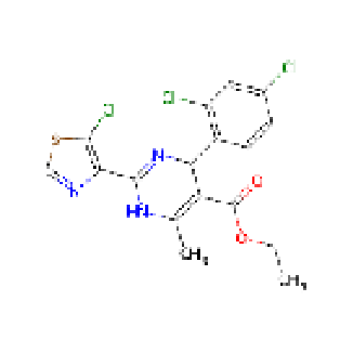 CCOC(=O)C1=C(C)NC(c2ncsc2Cl)=NC1c1ccc(Cl)cc1Cl